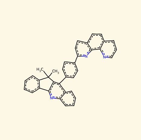 CC1(C)c2ccccc2-c2nc3ccccc3c(-c3ccc(-c4ccc5ccc6cccnc6c5n4)cc3)c21